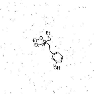 CCO[Si](CCc1cccc(O)c1)(OCC)OCC